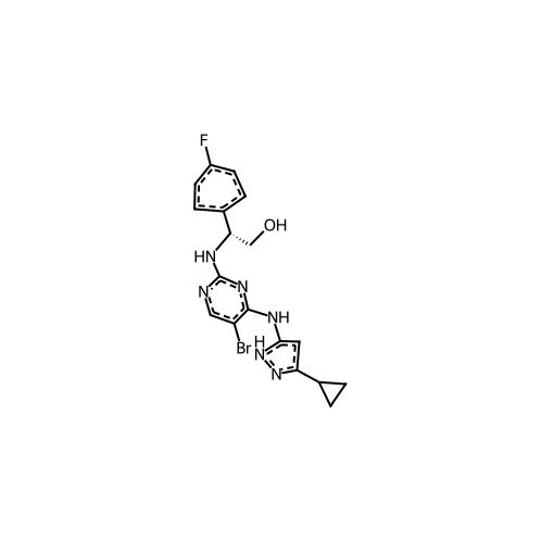 OC[C@H](Nc1ncc(Br)c(Nc2cc(C3CC3)n[nH]2)n1)c1ccc(F)cc1